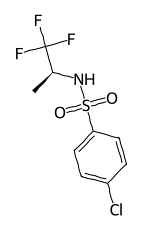 C[C@H](NS(=O)(=O)c1ccc(Cl)cc1)C(F)(F)F